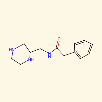 O=C(Cc1ccccc1)NCC1CNCCN1